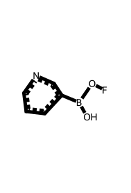 OB(OF)c1cccnc1